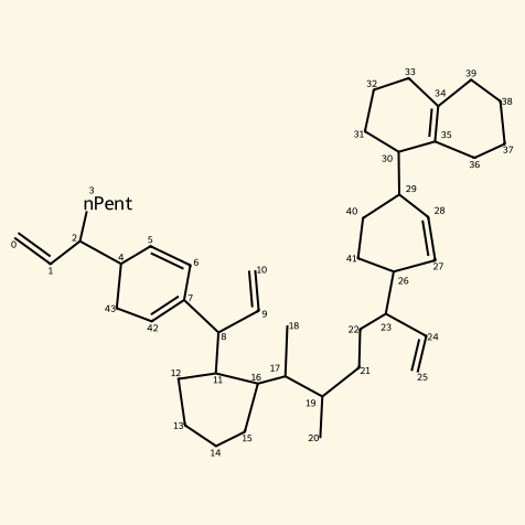 C=CC(CCCCC)C1C=CC(C(C=C)C2CCCCC2C(C)C(C)CCC(C=C)C2C=CC(C3CCCC4=C3CCCC4)CC2)=CC1